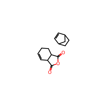 C1=CC2CCC1C2.O=C1OC(=O)C2CCC=CC12